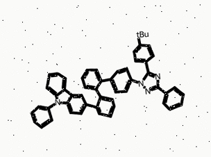 CC(C)(C)c1ccc(-c2nc(-c3ccccc3)nn2-c2ccc(-c3ccccc3-c3ccccc3-c3ccc4c(c3)c3ccccc3n4-c3ccccc3)cc2)cc1